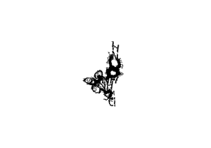 O=C(N[C@@]1(C(=O)Nc2ccc3c(c2)CCNCC3)CCOC1)c1ccc(Cl)s1